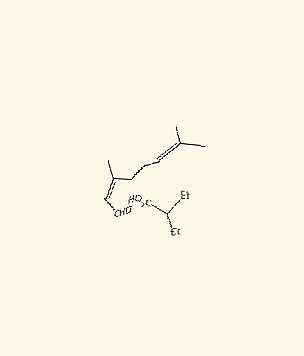 CC(C)=CCCC(C)=CC=O.CCC(CC)C(=O)O